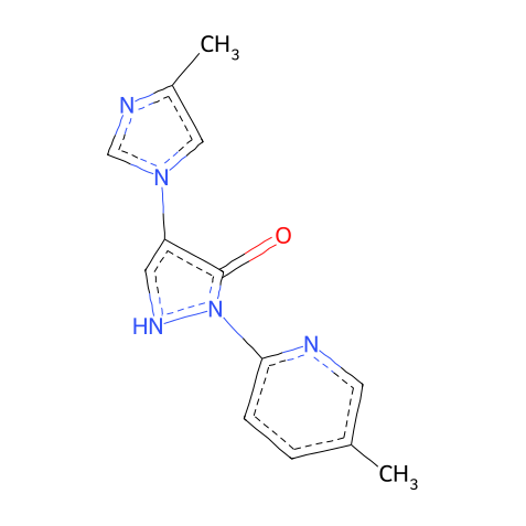 Cc1ccc(-n2[nH]cc(-n3cnc(C)c3)c2=O)nc1